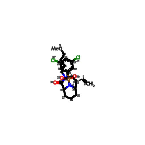 C=C[C@H]1CN(CCCCOC)C(=O)C2CCCC1N2S(=O)(=O)c1cc(Cl)cc(Cl)c1